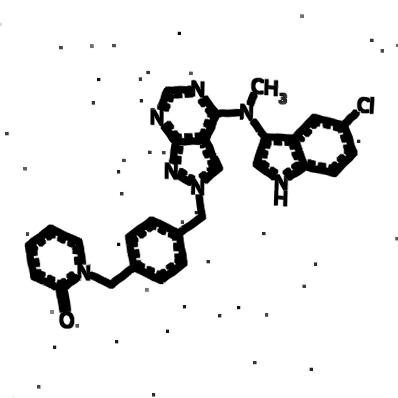 CN(c1ncnc2nn(Cc3ccc(Cn4ccccc4=O)cc3)cc12)c1c[nH]c2ccc(Cl)cc12